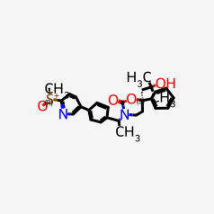 CC(c1ccc(-c2ccc([S@+](C)[O-])nc2)cc1)N1CC[C@](CC(C)(C)O)(c2ccccc2)OC1=O